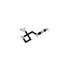 CC1(CN=[N+]=[N-])CCO1